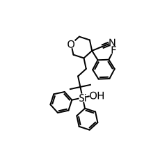 CC(C)(CCC1COCCC1(C#N)c1ccccc1F)[Si](O)(c1ccccc1)c1ccccc1